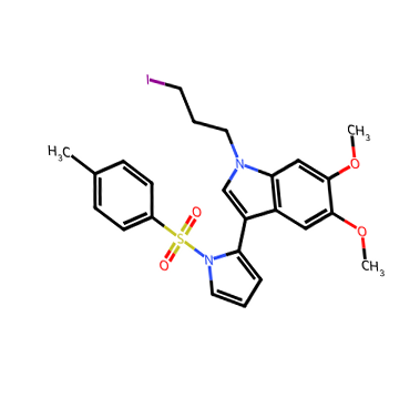 COc1cc2c(-c3cccn3S(=O)(=O)c3ccc(C)cc3)cn(CCCI)c2cc1OC